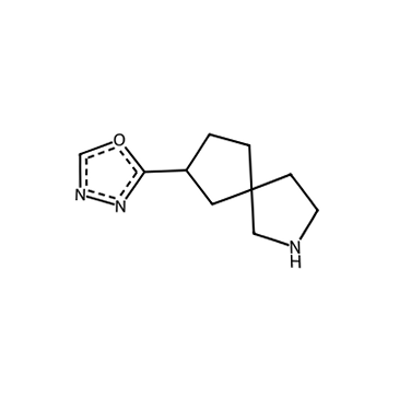 c1nnc(C2CCC3(CCNC3)C2)o1